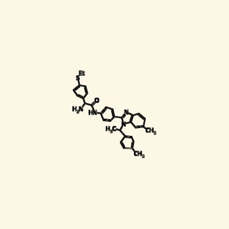 CCSc1ccc(C(N)C(=O)Nc2ccc(-c3nc4ccc(C)cc4n3C(C)c3ccc(C)cc3)cc2)cc1